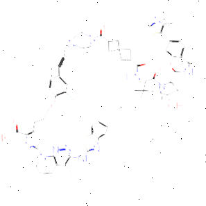 Cc1ncsc1-c1ccc([C@H](C)NC(=O)[C@@H]2C[C@@H](O)CN2C(=O)[C@@H](NC(=O)C2CC3(C2)CC(C(=O)N2CCN(CC#Cc4ccc(OCCCc5sc(N6CCCc7c6nnc(Nc6nc8ccccc8s6)c7C)nc5C(=O)O)c(F)c4)CC2)C3)C(C)(C)C)cc1